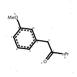 CCCC(=O)Cc1cccc(OC)c1